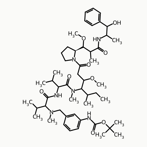 CCC(C)C(C(CC(=O)N1CCC[C@H]1C(OC)C(C)C(=O)NC(C)C(O)c1ccccc1)OC)N(C)C(=O)C(NC(=O)C(C(C)C)N(C)Cc1cccc(NC(=O)OC(C)(C)C)c1)C(C)C